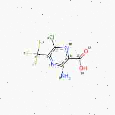 Nc1nc(C(F)(F)F)c(Cl)nc1C(=O)O